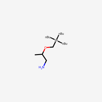 CCC[CH2][Sn]([CH2]CCC)([CH2]CCC)[CH2]OC(C)CN